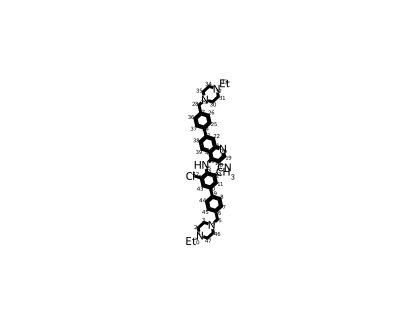 CCN1CCN(Cc2ccc(-c3cc(C)c(Nc4c(C#N)cnc5cc(-c6ccc(CN7CCN(CC)CC7)cc6)ccc45)c(Cl)c3)cc2)CC1